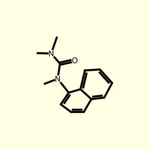 CN(C)C(=O)N(C)c1cccc2ccccc12